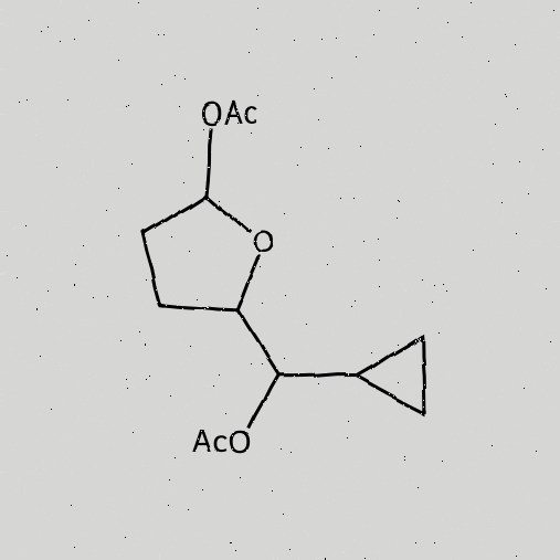 CC(=O)OC1CCC(C(OC(C)=O)C2CC2)O1